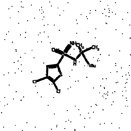 CC(C)(C)[Si](C)(C)NS(=N)(=O)c1cc(Cl)c(Cl)s1